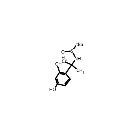 CC(C)(N[S+]([O-])C(C)(C)C)c1ccc(O)cc1O